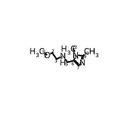 COCCNCc1cnc(C)n1C